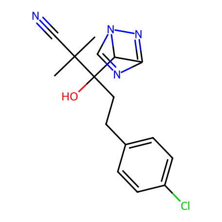 CC(C)(C#N)C(O)(CCc1ccc(Cl)cc1)C1c2ncn1n2